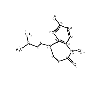 CN(C)CCN1CCC(=O)N(C)c2cnc(Cl)nc21